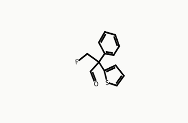 O=CC(CF)(c1ccccc1)c1cccs1